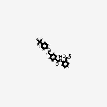 COC(=O)c1ccccc1NC(=O)c1ccc(COc2ccc(C(C)(C)C)cc2)cc1